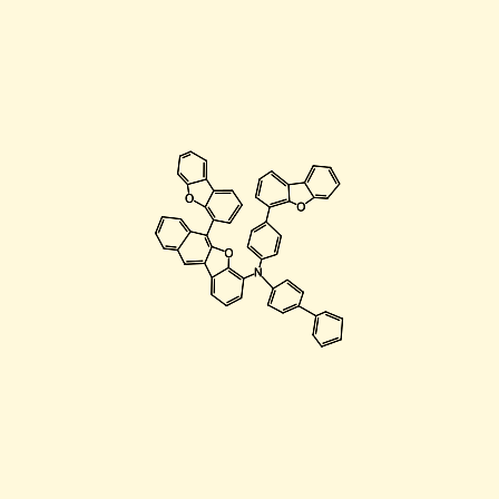 c1ccc(-c2ccc(N(c3ccc(-c4cccc5c4oc4ccccc45)cc3)c3cccc4c3oc3c(-c5cccc6c5oc5ccccc56)c5ccccc5cc34)cc2)cc1